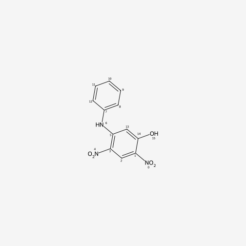 O=[N+]([O-])c1cc([N+](=O)[O-])c(Nc2ccccc2)cc1O